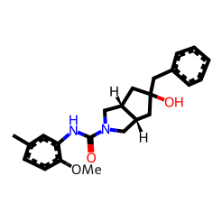 COc1ccc(C)cc1NC(=O)N1C[C@@H]2CC(O)(Cc3ccccc3)C[C@@H]2C1